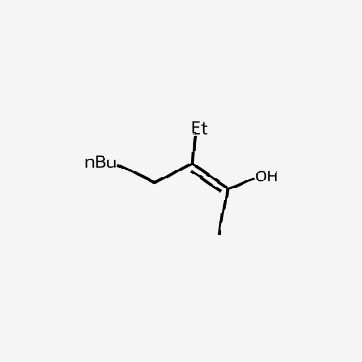 CCCCC/C(CC)=C(\C)O